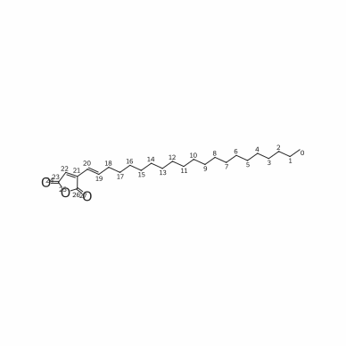 CCCCCCCCCCCCCCCCCCCC=CC1=CC(=O)OC1=O